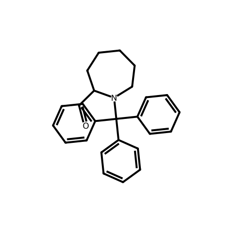 O=CC1CCCCCN1C(c1ccccc1)(c1ccccc1)c1ccccc1